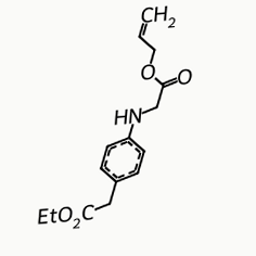 C=CCOC(=O)CNc1ccc(CC(=O)OCC)cc1